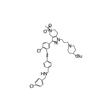 CC(C)(C)C1CCN(CCCn2nc(-c3ccc(Cl)c(C#Cc4ccc(CNCc5ccc(Cl)cc5)cc4)c3)c3c2CCN(S(C)(=O)=O)C3)CC1